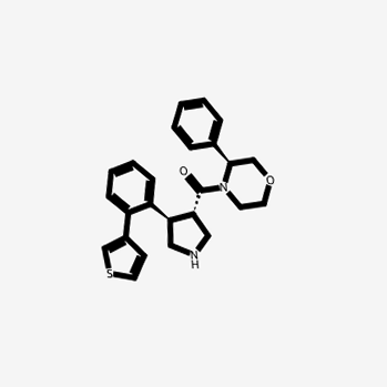 O=C([C@@H]1CNC[C@H]1c1ccccc1-c1ccsc1)N1CCOC[C@@H]1c1ccccc1